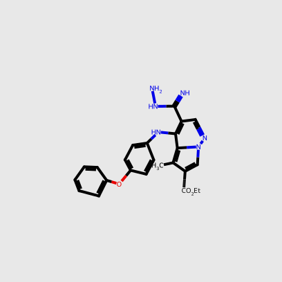 CCOC(=O)c1cn2ncc(C(=N)NN)c(Nc3ccc(Oc4ccccc4)cc3)c2c1C